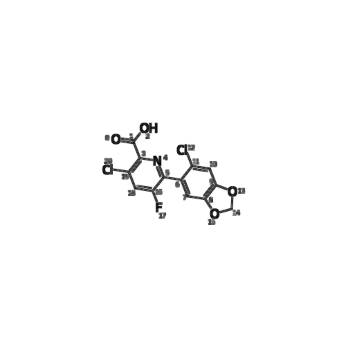 O=C(O)c1nc(-c2cc3c(cc2Cl)OCO3)c(F)cc1Cl